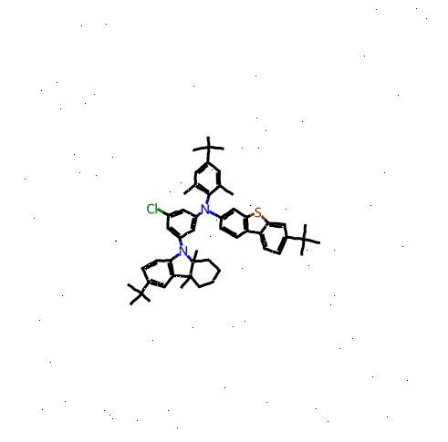 Cc1cc(C(C)(C)C)cc(C)c1N(c1cc(Cl)cc(N2c3ccc(C(C)(C)C)cc3C3(C)CCCCC23C)c1)c1ccc2c(c1)sc1cc(C(C)(C)C)ccc12